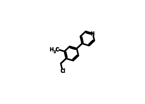 Cc1cc(-c2ccncc2)ccc1CCl